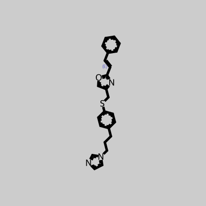 C(=C\c1nc(CSc2ccc(CCCn3ccnc3)cc2)co1)/c1ccccc1